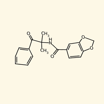 CC(C)(NC(=O)c1ccc2c(c1)OCO2)C(=O)c1ccccc1